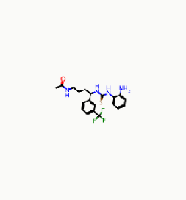 CC(=O)NCCCC(NC(=S)Nc1ccccc1N)c1cccc(C(F)(F)F)c1